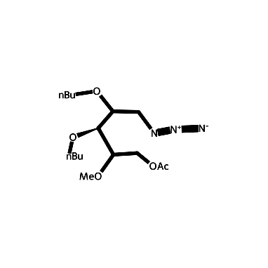 CCCCOC(CN=[N+]=[N-])[C@H](OCCCC)C(COC(C)=O)OC